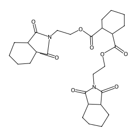 O=C(OCCN1C(=O)C2CCCCC2C1=O)C1CCCCC1C(=O)OCCN1C(=O)C2CCCCC2C1=O